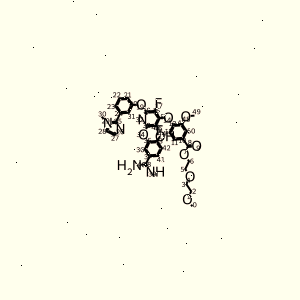 COCCOCCOC(=O)c1ccc(Oc2c(F)c(Oc3cccc(-c4nccn4C)c3)nc(Oc3cc(C(=N)N)ccc3O)c2F)c(OC)c1